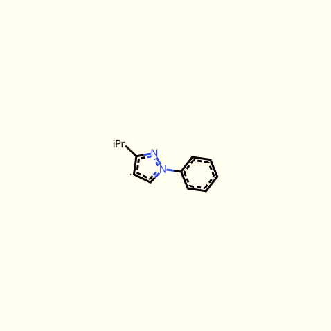 CC(C)c1[c]cn(-c2ccccc2)n1